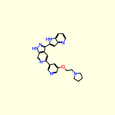 c1cnc2cc(-c3n[nH]c4cnc(-c5cncc(OCCN6CCCC6)c5)cc34)[nH]c2c1